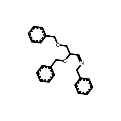 C(=N/Cc1ccccc1)/C(COCc1ccccc1)OCc1ccccc1